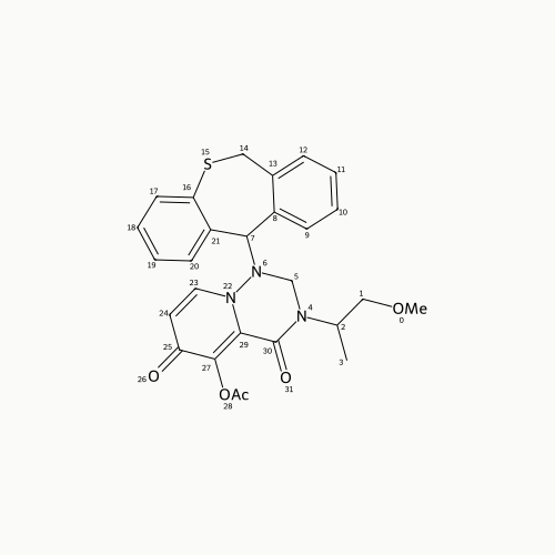 COCC(C)N1CN(C2c3ccccc3CSc3ccccc32)n2ccc(=O)c(OC(C)=O)c2C1=O